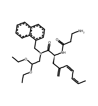 C=C(/C=C\C=C/C)C[C@H](NC(=O)CCN)C(=O)N(Cc1cccc2ccccc12)CC(OCC)OCC